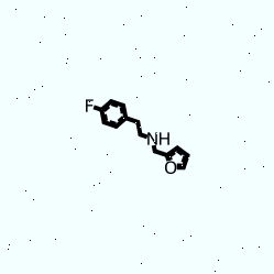 Fc1ccc(CCNCc2ccco2)cc1